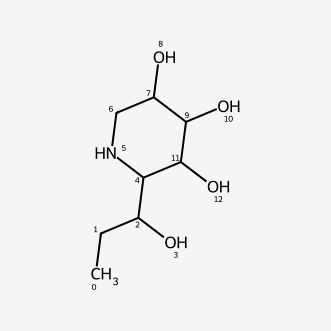 CCC(O)C1NCC(O)C(O)C1O